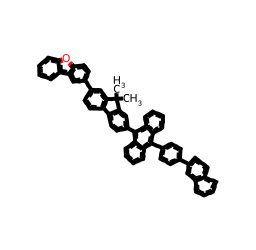 CC1(C)c2cc(-c3ccc4oc5ccccc5c4c3)ccc2-c2ccc(-c3c4ccccc4c(-c4ccc(-c5ccc6ccccc6c5)cc4)c4ccccc34)cc21